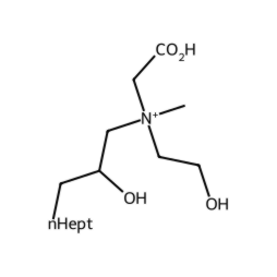 CCCCCCCCC(O)C[N+](C)(CCO)CC(=O)O